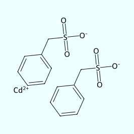 O=S(=O)([O-])Cc1ccccc1.O=S(=O)([O-])Cc1ccccc1.[Cd+2]